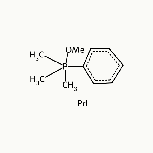 COP(C)(C)(C)c1ccccc1.[Pd]